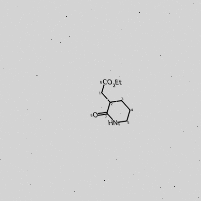 CCOC(=O)CC1CCCNC1=O